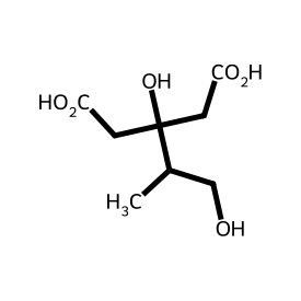 CC(CO)C(O)(CC(=O)O)CC(=O)O